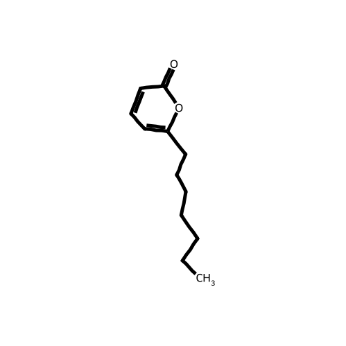 CCCCCCCc1cccc(=O)o1